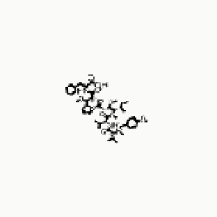 CCC(C)[C@@H]([C@@H](CC(=O)N1CCC[C@H]1[C@H](OC)[C@@H](C)C(=O)NC(Cc1ccccc1)C(=O)O)OC)N(C)C(=O)[C@@H](NC(=O)[C@H](C(C)C)N(C)Cc1ccc(OC)cc1)C(C)C